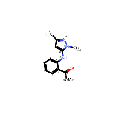 COC(=O)c1ccccc1Nc1cc(C)nn1C